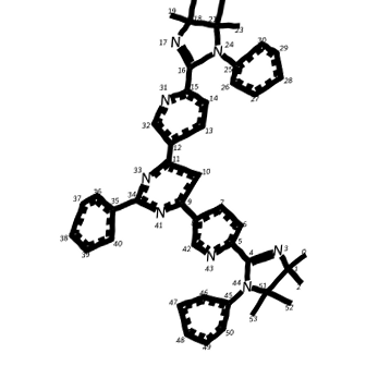 CC1(C)N=C(c2ccc(-c3cc(-c4ccc(C5=NC(C)(C)C(C)(C)N5c5ccccc5)nc4)nc(-c4ccccc4)n3)cn2)N(c2ccccc2)C1(C)C